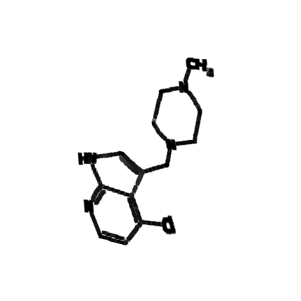 CN1CCN(Cc2c[nH]c3nccc(Cl)c23)CC1